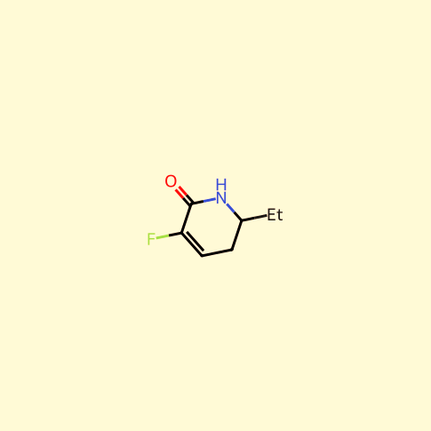 CCC1CC=C(F)C(=O)N1